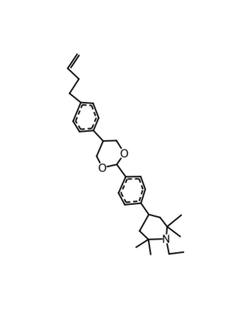 C=CCCc1ccc(C2COC(c3ccc(C4CC(C)(C)N(CC)C(C)(C)C4)cc3)OC2)cc1